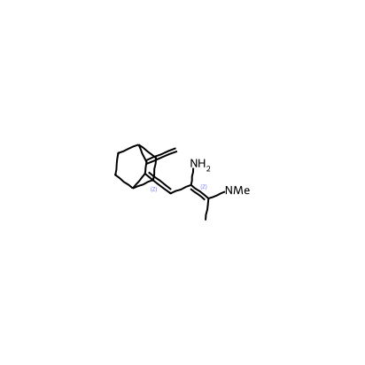 C=C1/C(=C\C(N)=C(/C)NC)C2CCC1CC2